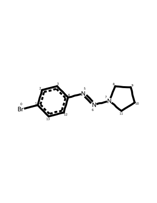 Brc1ccc(N=NN2CCCC2)cc1